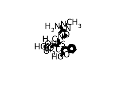 C/C(=C(\CCOP(=O)(O)O)S/C(=C(\C)C(=O)O)c1ccccc1)N(C=O)Cc1cnc(C)nc1N